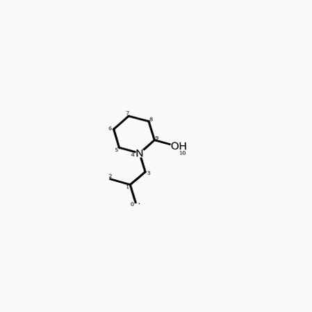 [CH2]C(C)CN1CCCCC1O